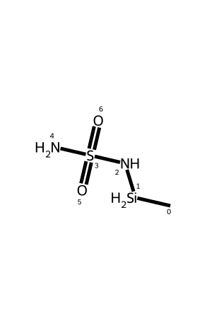 C[SiH2]NS(N)(=O)=O